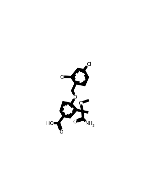 COC(C)(C(N)=O)c1cc(C(=O)O)ccc1OCc1ccc(Cl)cc1Cl